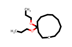 CCCOC1(OCCC)CCCCCCCCCCC1